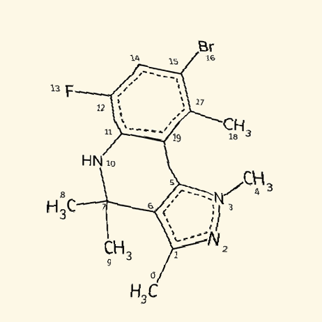 Cc1nn(C)c2c1C(C)(C)Nc1c(F)cc(Br)c(C)c1-2